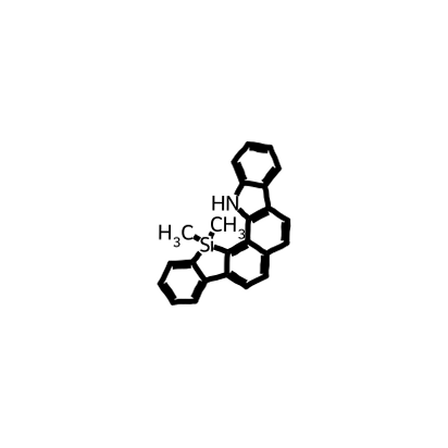 C[Si]1(C)c2ccccc2-c2ccc3ccc4c5ccccc5[nH]c4c3c21